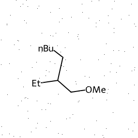 [CH2]OCC(CC)CCCCC